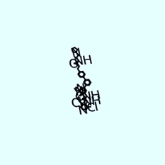 CCn1nc(-c2cccc(-c3ccc(CCC(=O)NCCN4CCCC4)cc3)c2)cc(NC(=O)Nc2c(Cl)cncc2Cl)c1=O